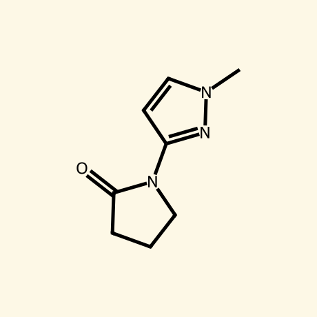 Cn1ccc(N2CCCC2=O)n1